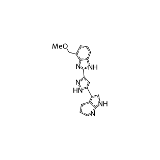 COCc1cccc2[nH]c(-c3cc(-c4c[nH]c5ncccc45)[nH]n3)nc12